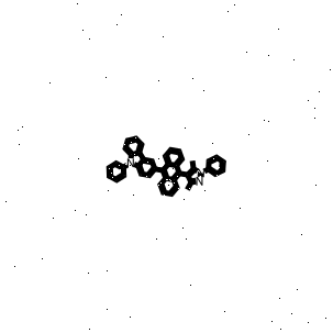 Cc1nn(-c2ccccc2)c(C)c1-c1c2ccccc2c(-c2ccc3c(c2)c2ccccc2n3-c2ccccc2)c2ccccc12